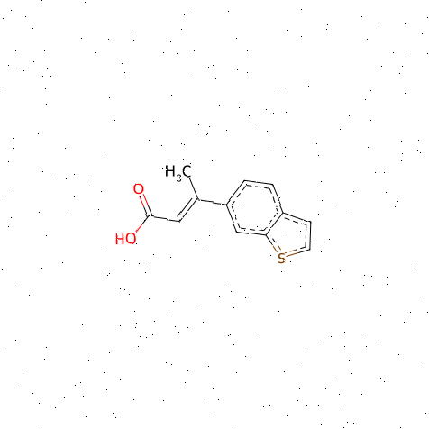 CC(=CC(=O)O)c1ccc2ccsc2c1